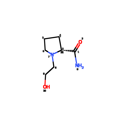 NC(=O)[C@H]1[CH]CCN1CCO